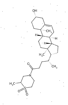 CC1CN(C(=O)CC[C@@H](C)[C@H]2CC[C@H]3[C@@H]4CC=C5C[C@@H](O)CC[C@]5(C)[C@H]4CC[C@]23C)CCS1(=O)=O